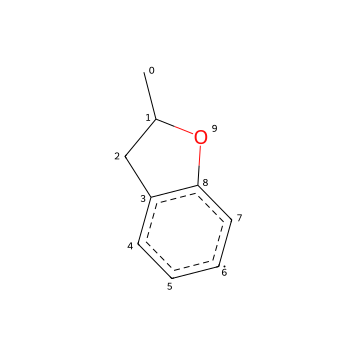 CC1Cc2cc[c]cc2O1